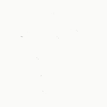 C[C@@H]1C/C=C/[C@@H](NC(=O)CS[C@@H]2OC(CO)[C@@H](C)[C@H](O)C2O)C/C=C/C(=N/OCC(=O)N2CCCCC2)Cc2cc(O)cc(O)c2C(=O)O1